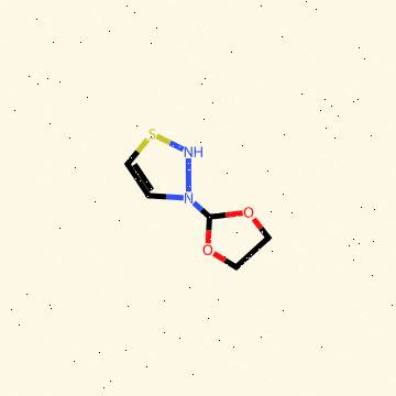 C1=CN(C2OCCO2)NS1